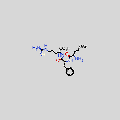 CSCC[C@H](N)C(=O)N[C@@H](Cc1ccccc1)C(=O)N[C@@H](CCCNC(=N)N)C(=O)O